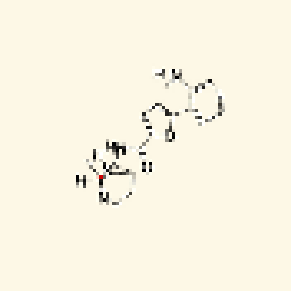 C[C@H]1[C@H](NC(=O)c2ccc(-c3ccccc3N)o2)C2CCN1CC2